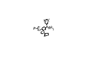 NC(c1cncnc1)c1ccc(OC(F)F)c(OC2CCC2)c1